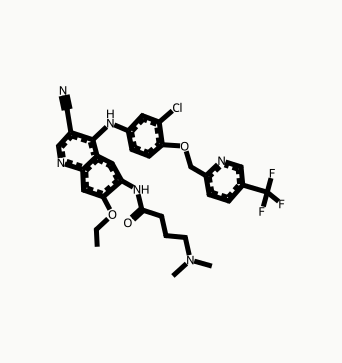 CCOc1cc2ncc(C#N)c(Nc3ccc(OCc4ccc(C(F)(F)F)cn4)c(Cl)c3)c2cc1NC(=O)CCCN(C)C